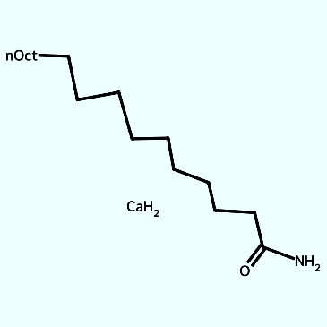 CCCCCCCCCCCCCCCCCC(N)=O.[CaH2]